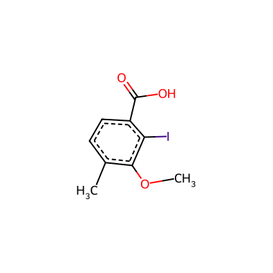 COc1c(C)ccc(C(=O)O)c1I